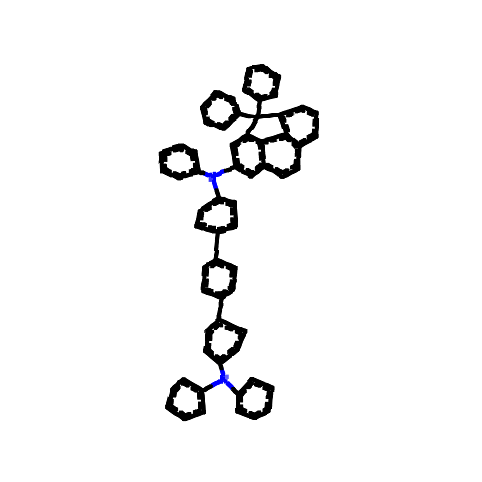 c1ccc(N(c2ccccc2)c2ccc(-c3ccc(-c4ccc(N(c5ccccc5)c5cc6c7c(ccc8cccc(c87)C6(c6ccccc6)c6ccccc6)c5)cc4)cc3)cc2)cc1